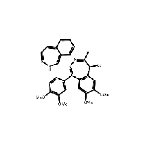 C1=NNC=c2ccccc2=C1.CCC1C(C)=NN=C(c2ccc(OC)c(OC)c2)c2cc(OC)c(OC)cc21